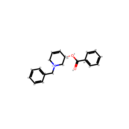 O=C(O[C@H]1C=CCN(Cc2ccccc2)C1)c1ccccc1